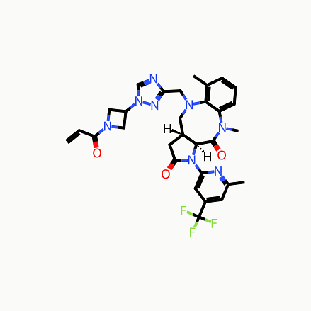 C=CC(=O)N1CC(n2cnc(CN3C[C@H]4CC(=O)N(c5cc(C(F)(F)F)cc(C)n5)[C@@H]4C(=O)N(C)c4cccc(C)c43)n2)C1